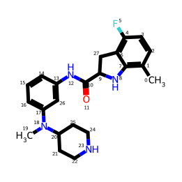 Cc1ccc(F)c2c1NC(C(=O)Nc1cccc(N(C)C3CCNCC3)c1)C2